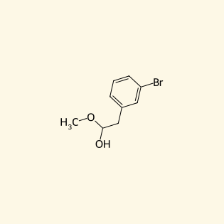 COC(O)Cc1cccc(Br)c1